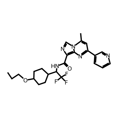 CCCOC1CCC(C(NC(=O)c2ncn3c(C)cc(-c4cccnc4)nc23)C(F)(F)F)CC1